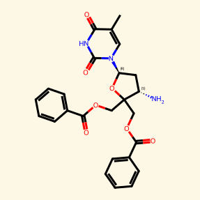 Cc1cn([C@H]2C[C@H](N)C(COC(=O)c3ccccc3)(COC(=O)c3ccccc3)O2)c(=O)[nH]c1=O